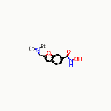 CCN(CC)Cc1cc2ccc(C(=O)NO)cc2o1